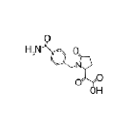 NC(=O)c1ccc(CN2C(=O)CCC2C(=O)C(=O)O)cc1